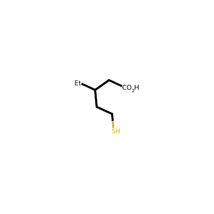 CCC(CCS)CC(=O)O